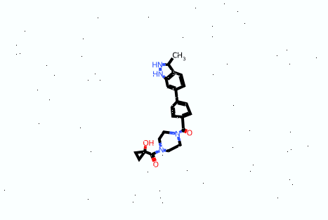 CC1NNc2cc(-c3ccc(C(=O)N4CCN(C(=O)C5(O)CC5)CC4)cc3)ccc21